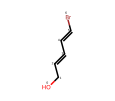 OCC=CC=CBr